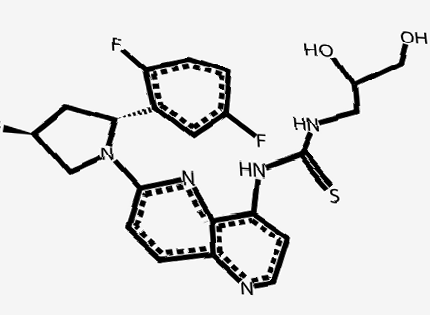 OCC(O)CNC(=S)Nc1ccnc2ccc(N3C[C@@H](F)C[C@@H]3c3cc(F)ccc3F)nc12